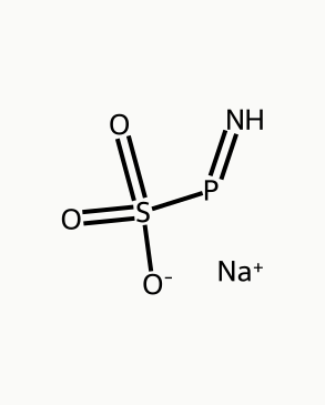 N=PS(=O)(=O)[O-].[Na+]